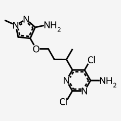 CC(CCOc1cn(C)nc1N)c1nc(Cl)nc(N)c1Cl